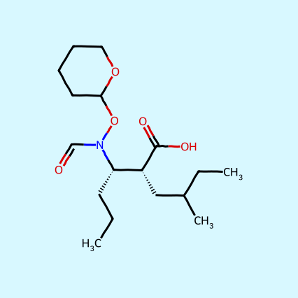 CCC[C@@H]([C@@H](CC(C)CC)C(=O)O)N(C=O)OC1CCCCO1